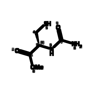 COC(=O)[C@H](CS)NC(N)=O